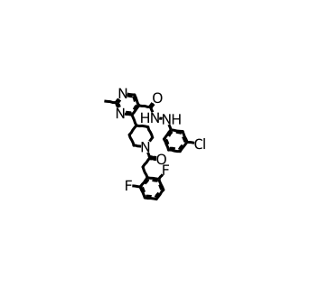 Cc1ncc(C(=O)NNc2cccc(Cl)c2)c(C2CCN(C(=O)Cc3c(F)cccc3F)CC2)n1